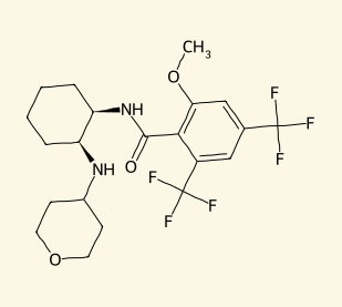 COc1cc(C(F)(F)F)cc(C(F)(F)F)c1C(=O)N[C@@H]1CCCC[C@@H]1NC1CCOCC1